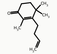 C=CCCC1=C(C)C(=O)CCC1(C)C